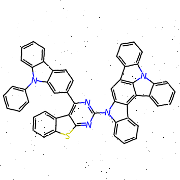 c1ccc(-n2c3ccccc3c3ccc(-c4nc(-n5c6ccccc6c6c7c8ccccc8n8c9ccccc9c(cc65)c78)nc5sc6ccccc6c45)cc32)cc1